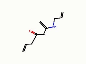 C=CCNC(=C)[CH]C(=O)CC=C